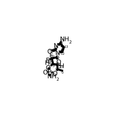 CC1OP(N)(=O)O[C@@H]2[C@@H]1O[C@@H](n1ccc(N)nc1=O)C2(F)F